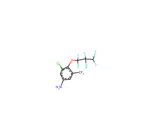 Nc1cc(Cl)c(OC(F)(F)C(F)(F)C(F)F)c(C(F)(F)F)c1